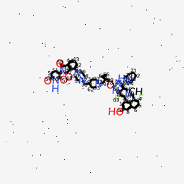 C#Cc1c(F)ccc2cc(O)cc(-c3ncc4c(N5CC6CCC(C5)N6)nc(OCC5(CN6CCC(CN7CCN(c8cccc9c8C(=O)N(C8CCC(=O)NC8=O)C9=O)CC7)CC6)CC5)nc4c3F)c12